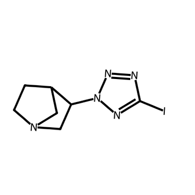 Ic1nnn(C2CN3CCC2C3)n1